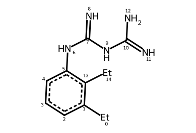 CCc1cccc(NC(=N)NC(=N)N)c1CC